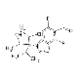 CC(C)[Si](C(C)C)(C(C)C)n1ccc2c(Br)c(C=O)c(F)cc21